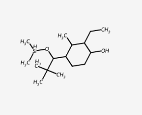 CCC1C(O)CCC(C(O[SiH](C)C)C(C)(C)C)C1C